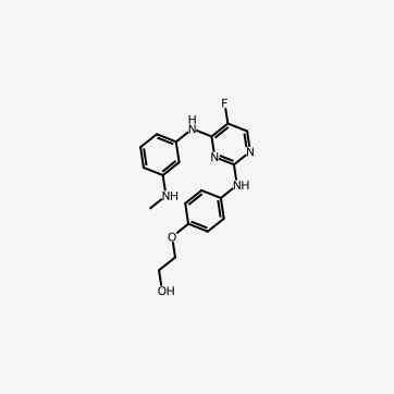 CNc1cccc(Nc2nc(Nc3ccc(OCCO)cc3)ncc2F)c1